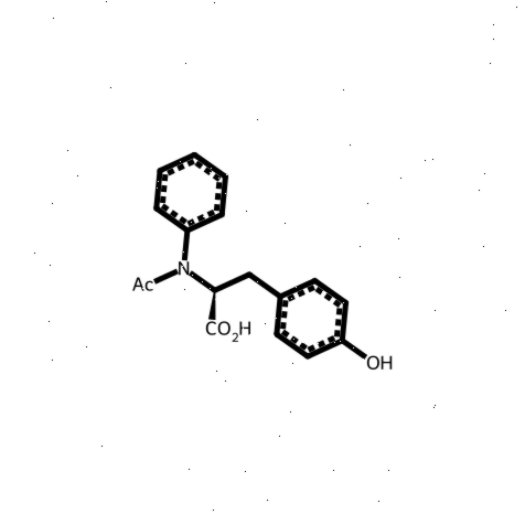 CC(=O)N(c1ccccc1)[C@@H](Cc1ccc(O)cc1)C(=O)O